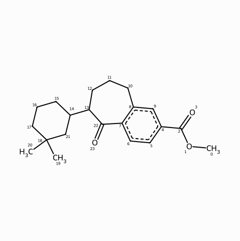 COC(=O)c1ccc2c(c1)CCCC(C1CCCC(C)(C)C1)C2=O